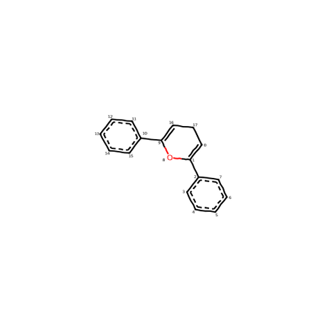 C1=C(c2ccccc2)OC(c2ccccc2)=CC1